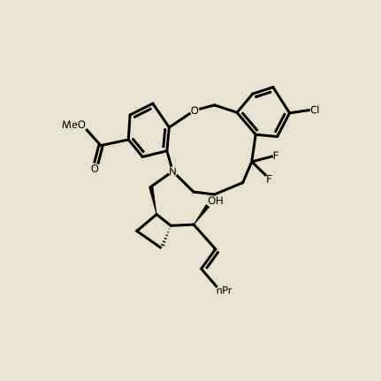 CCC/C=C/[C@H](O)[C@@H]1CC[C@H]1CN1CCCC(F)(F)c2cc(Cl)ccc2COc2ccc(C(=O)OC)cc21